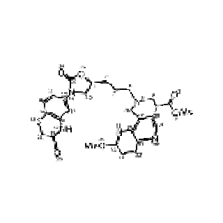 COC(=O)CCN(CCC[C@H]1CN(c2ccc3c(c2)NC(=O)CS3)C(=O)O1)Cc1ccnc2ccc(OC)nc12